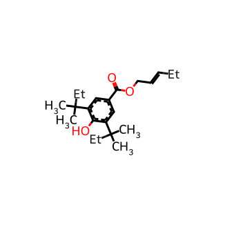 CC/C=C/COC(=O)c1cc(C(C)(C)CC)c(O)c(C(C)(C)CC)c1